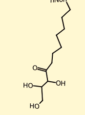 CCCCCCCCCCCCCCCCC(=O)C(O)C(O)CO